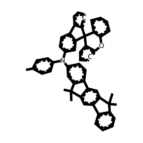 Cc1ccc(N(c2ccc3c(c2)C(C)(C)c2cc4c(cc2-3)C(C)(C)c2ccccc2-4)c2ccc3c(c2)C2(c4ccccc4Oc4ccccc42)c2ccccc2-3)cc1